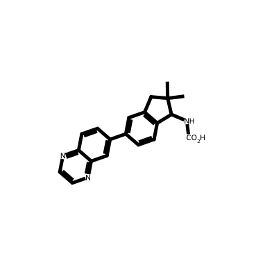 CC1(C)Cc2cc(-c3ccc4nccnc4c3)ccc2C1NC(=O)O